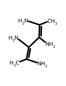 C/C(N)=C(N)/C(N)=C(/C)N